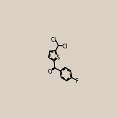 O=C(c1ccc(F)cc1)c1ccc(C(Cl)Cl)s1